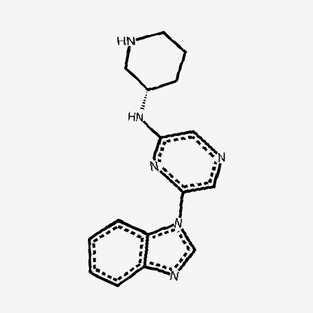 c1ccc2c(c1)ncn2-c1cncc(N[C@H]2CCCNC2)n1